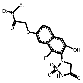 CCN(CC)C(=O)COc1ccc2cc(O)c(N3CC(=O)NS3(=O)=O)c(F)c2c1